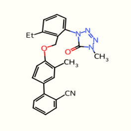 CCc1cccc(-n2nnn(C)c2=O)c1COc1ccc(-c2ccccc2C#N)cc1C